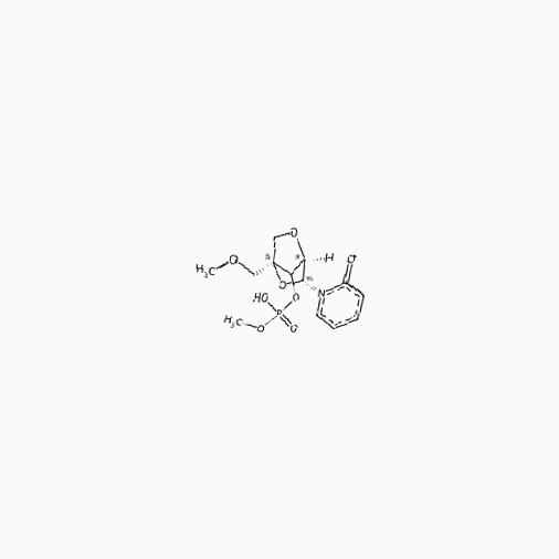 COC[C@]12CO[C@H](C1OP(=O)(O)OC)[C@H](n1ccccc1=O)O2